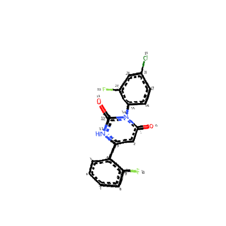 O=c1cc(-c2ccccc2F)[nH]c(=O)n1-c1ccc(Cl)cc1F